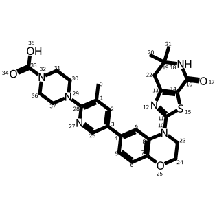 Cc1cc(-c2ccc3c(c2)N(c2nc4c(s2)C(=O)NC(C)(C)C4)CCO3)cnc1N1CCN(C(=O)O)CC1